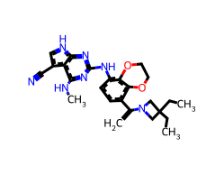 C=C(c1ccc(Nc2nc(NC)c3c(C#N)c[nH]c3n2)c2c1OCCO2)N1CC(CC)(CC)C1